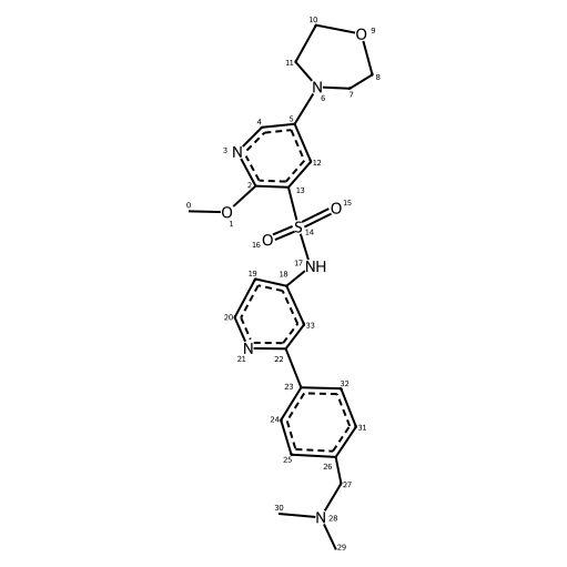 COc1ncc(N2CCOCC2)cc1S(=O)(=O)Nc1ccnc(-c2ccc(CN(C)C)cc2)c1